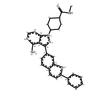 CNC(=O)C1CCC(n2nc(-c3ccc4ccc(-c5ccccc5)nc4c3)c3c(N)ncnc32)CC1